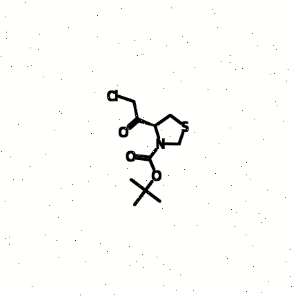 CC(C)(C)OC(=O)N1CSC[C@@H]1C(=O)CCl